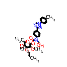 CCCO[C@@H]1[C@@H](OC)[C@H](C)O[C@@H](OC(=O)N(CO)c2ccc(-c3ncn(-c4ccc(C)cc4)n3)cc2)[C@@H]1OC